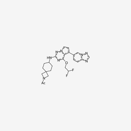 CC(=O)N1CC2(CCC(Nc3nc(OCC(F)F)c4c(-c5ccc6ncnn6c5)ccn4n3)CC2)C1